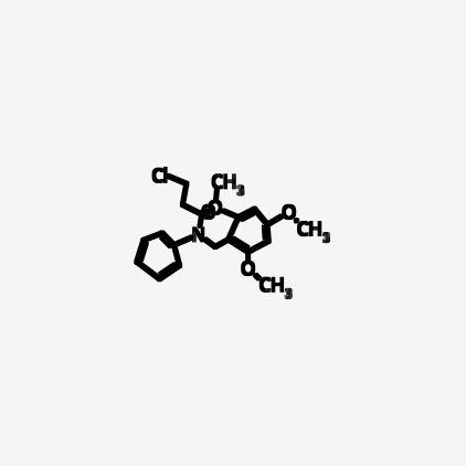 COc1cc(OC)c(CN(C(=O)CCCl)c2ccccc2)c(OC)c1